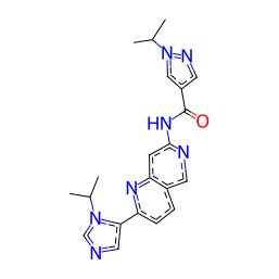 CC(C)n1cc(C(=O)Nc2cc3nc(-c4cncn4C(C)C)ccc3cn2)cn1